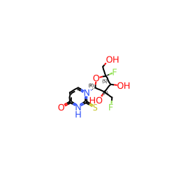 O=c1ccn([C@@H]2O[C@](F)(CO)C(O)[C@]2(O)CF)c(=S)[nH]1